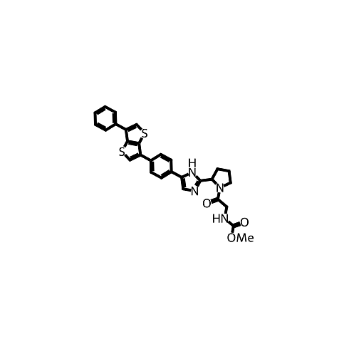 COC(=O)NCC(=O)N1CCCC1c1ncc(-c2ccc(-c3csc4c(-c5ccccc5)csc34)cc2)[nH]1